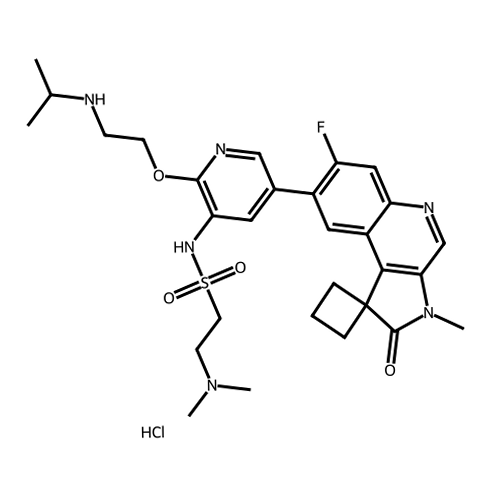 CC(C)NCCOc1ncc(-c2cc3c4c(cnc3cc2F)N(C)C(=O)C42CCC2)cc1NS(=O)(=O)CCN(C)C.Cl